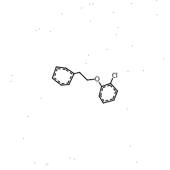 Clc1ccccc1OCCc1ccccc1